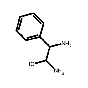 NC(O)C(N)c1ccccc1